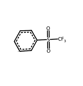 O=S(=O)(c1c[c]ccc1)C(F)(F)F